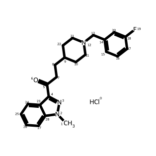 Cl.Cn1nc(C(=O)CCC2CCN(Cc3cccc(F)c3)CC2)c2ccccc21